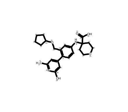 Cc1cc(-c2ccc(NC3(C(=O)O)CCOCC3)cc2COC2CCCC2)cc(O)n1